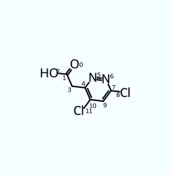 O=C(O)Cc1nnc(Cl)cc1Cl